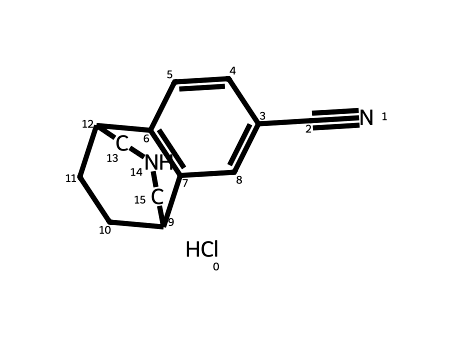 Cl.N#Cc1ccc2c(c1)C1CCC2CNC1